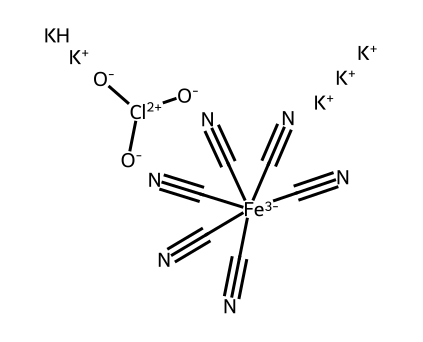 N#[C][Fe-3]([C]#N)([C]#N)([C]#N)([C]#N)[C]#N.[K+].[K+].[K+].[K+].[KH].[O-][Cl+2]([O-])[O-]